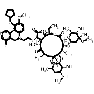 CC[C@H]1OC(=O)[C@H](C)[C@@H](O[C@H]2C[C@@](C)(OC)[C@@H](O)[C@H](C)O2)[C@H](C)[C@@H](O[C@@H]2O[C@H](C)C[C@H](NC)[C@H]2O)[C@](C)(OC)C[C@@H](C)C(=O)[C@H](C)[C@H]2[C@H](SCCN(Cc3c(Cl)cncc3Cl)c3ccc(OC)c(OC4CCCC4)c3)C(=O)O[C@@]21C